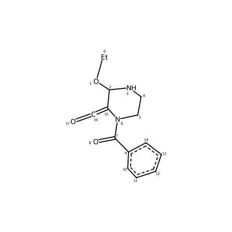 CCOC1NCCN(C(=O)c2ccccc2)C1=C=O